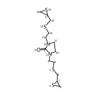 O=C1N(CCSCC2CS2)CCN1CCSCC1CS1